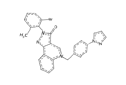 Cc1cccc(Br)c1-n1nc2c3ccccc3n(Cc3ccc(-n4cccn4)cc3)cc-2c1=O